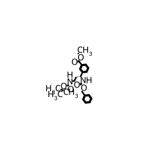 CCOC(=O)c1cccc([C@@H](CCNC(=O)OC(C)(C)C)NC(=O)OCc2ccccc2)c1